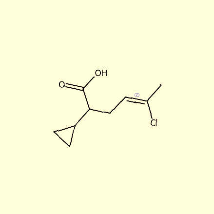 C/C(Cl)=C/CC(C(=O)O)C1CC1